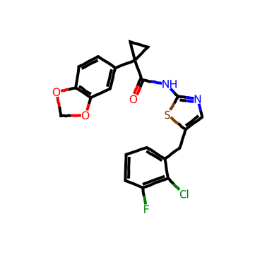 O=C(Nc1ncc(Cc2cccc(F)c2Cl)s1)C1(c2ccc3c(c2)OCO3)CC1